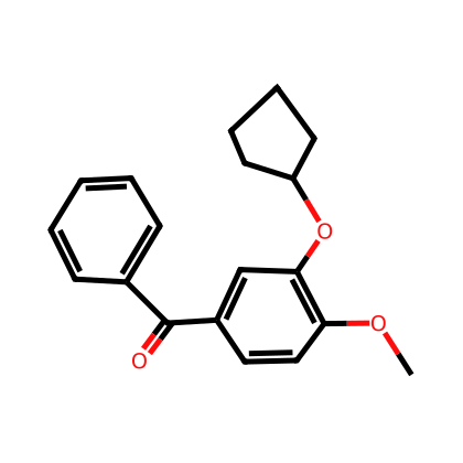 COc1ccc(C(=O)c2ccccc2)cc1OC1CCCC1